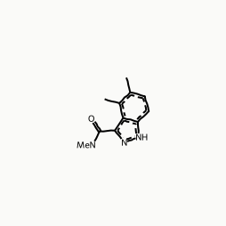 CNC(=O)c1n[nH]c2ccc(C)c(C)c12